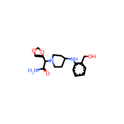 NC(=O)C(C1=COCO1)N1CCC(Nc2ccccc2CO)CC1